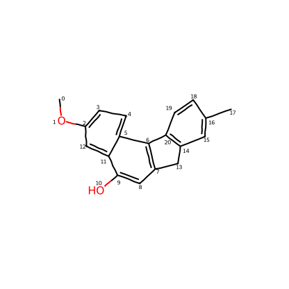 COc1ccc2c3c(cc(O)c2c1)Cc1cc(C)ccc1-3